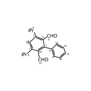 CC(C)c1nc(C(C)C)c(C=O)c(-c2ccccc2)c1C=O